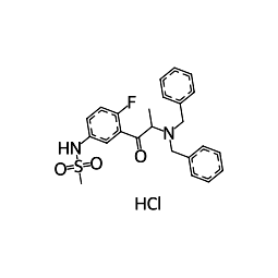 CC(C(=O)c1cc(NS(C)(=O)=O)ccc1F)N(Cc1ccccc1)Cc1ccccc1.Cl